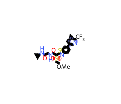 COCCS(=O)(=O)C(C(=O)NCC(=O)NC1CC1)c1nc2ccc(C3=C/N=C(C(F)(F)F)\C=C\C=C\3)cc2s1